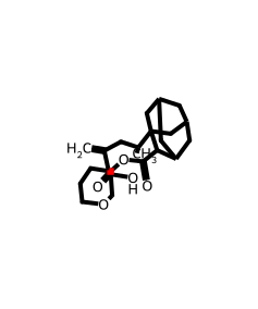 C=C(CC(C)C12CC3CC(CC(C3)C1C(=O)OC1CCCOC1)C2)C(=O)O